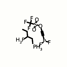 CCC(P)CC.O=S(=O)(OC#CP(F)F)C(F)(F)F.P